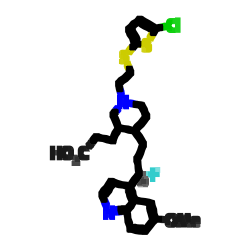 COc1ccc2nccc([C@@H](F)CCC3CCN(CCSc4ccc(Cl)s4)CC3CCC(=O)O)c2c1